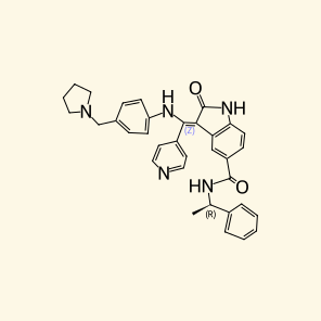 C[C@@H](NC(=O)c1ccc2c(c1)/C(=C(/Nc1ccc(CN3CCCC3)cc1)c1ccncc1)C(=O)N2)c1ccccc1